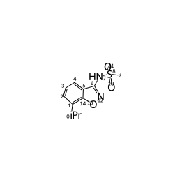 CC(C)c1cccc2c(NS(C)(=O)=O)noc12